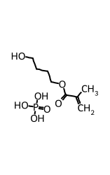 C=C(C)C(=O)OCCCCO.O=P(O)(O)O